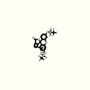 COC(=O)c1cccc2c1C1(OC2=O)c2ccc(OS(=O)(=O)C(F)(F)F)cc2Oc2cc(OS(=O)(=O)C(F)(F)F)ccc21